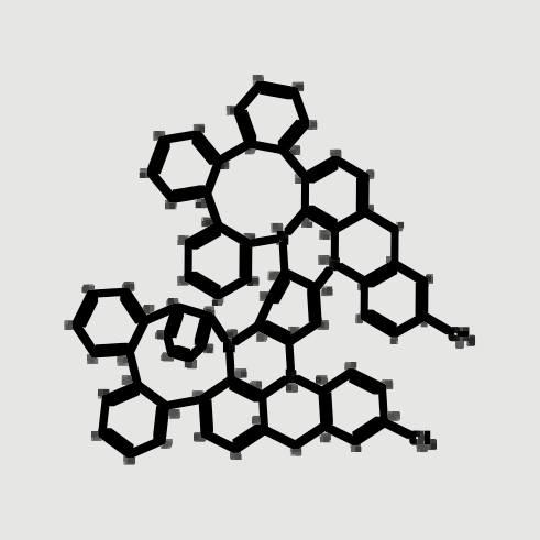 Cc1ccc2c(c1)Cc1ccc3c4ccccc4c4ccccc4c4ccccc4n4c3c1B2c1cc2c(cc1-4)-n1c3ccccc3c3ccccc3c3ccccc3c3ccc4c(c31)B2c1ccc(C)cc1C4